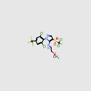 COCCNc1c(S(=O)(=O)C(F)(Cl)Cl)cnn1-c1c(Cl)cc(C(F)(F)F)cc1Cl